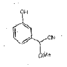 COC(C#N)c1cccc(O)c1